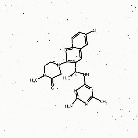 Cc1nc(N)nc(N[C@@H](C)c2cc3cc(Cl)ccc3nc2N2CCN(C)C(=O)C2)n1